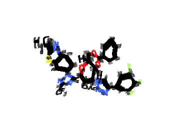 CC(=O)O[C@@H]1[C@@H](n2cc(-c3cc(F)c(F)c(F)c3)nn2)[C@H]2OC(c3ccccc3)OC[C@H]2O[C@H]1c1nc(C(F)(F)F)nn1-c1ccc2nc(C)sc2c1